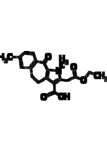 CCOC(=O)Cc1c(C(=O)O)c2c(n1C)C(=O)c1ccc(C)cc1CC2